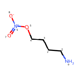 NCCCCO[N+](=O)[O-]